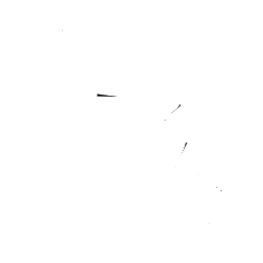 Cc1cncc(C2=CC[C@H]3[C@@H]4CC=C5N(C)C(=O)CCC[C@]5(C)[C@H]4CC[C@]23C)c1